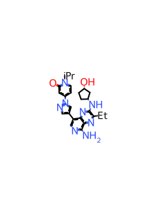 CCc1nc2c(N)ncc(-c3cnn(-c4ccn(C(C)C)c(=O)c4)c3)c2nc1N[C@@H]1CC[C@H](O)C1